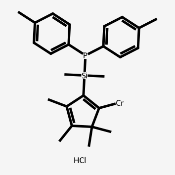 CC1=C(C)C(C)(C)[C]([Cr])=C1[Si](C)(C)P(c1ccc(C)cc1)c1ccc(C)cc1.Cl